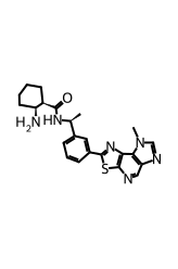 C[C@H](NC(=O)[C@@H]1CCCC[C@@H]1N)c1cccc(-c2nc3c(ncc4ncn(C)c43)s2)c1